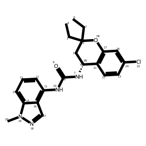 CCC1(CC)C[C@@H](NC(=O)Nc2cccc3c2cnn3C)c2ccc(Cl)cc2O1